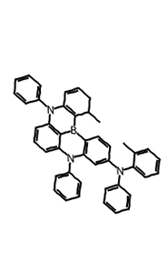 Cc1ccccc1N(c1ccccc1)c1ccc2c(c1)N(c1ccccc1)c1cccc3c1B2C1=C(C=CCC1C)N3c1ccccc1